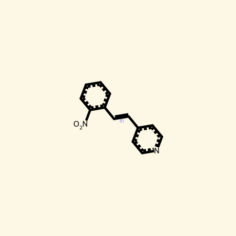 O=[N+]([O-])c1ccccc1/C=C/c1ccncc1